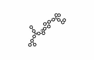 c1ccc(-c2ccc(N(c3ccc(-c4ccc(-c5ccccc5)c(-c5ccccc5)c4)cc3)c3ccc(-c4cccc5c4oc4ccc(-c6cccc(-c7cc(-c8ccc(N(c9ccc(-c%10cccc%11ccccc%10%11)cc9)c9cccc%10ccccc9%10)cc8)ccc7-c7ccccc7)c6)cc45)cc3)cc2)cc1